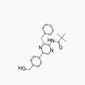 CC(C)(C)C(=O)Nc1ncc(-c2ccc(CO)cc2)nc1Cc1ccccc1